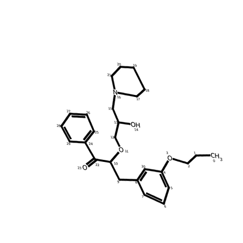 CCCOc1cccc(CC(OCC(O)CN2CCCCC2)C(=O)c2ccccc2)c1